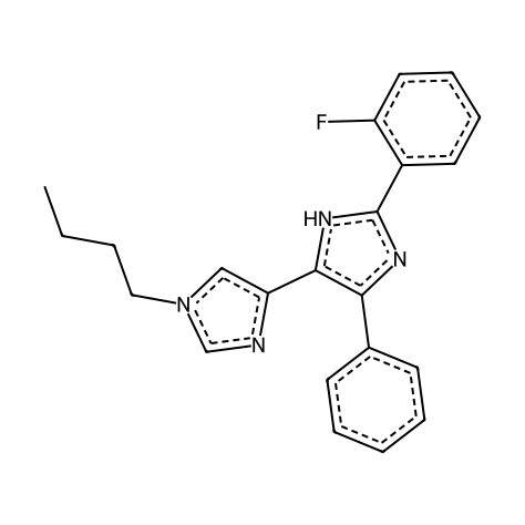 CCCCn1cnc(-c2[nH]c(-c3ccccc3F)nc2-c2ccccc2)c1